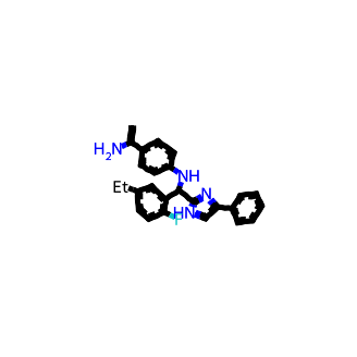 C=C(N)c1ccc(NC(c2nc(-c3ccccc3)c[nH]2)c2cc(CC)ccc2F)cc1